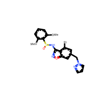 CCc1cc(Cn2cccn2)cc2onc(N[S+]([O-])c3c(OC)cccc3OC)c12